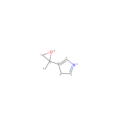 CC1(C2=CN=CC2)CO1